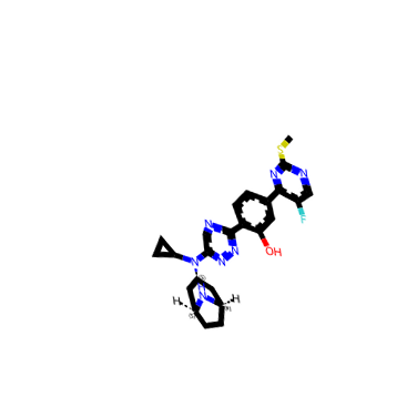 CSc1ncc(F)c(-c2ccc(-c3ncc(N(C4CC4)[C@@H]4C[C@H]5CC[C@@H](C4)N5)nn3)c(O)c2)n1